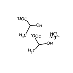 CC(O)C(=O)[O-].CC(O)C(=O)[O-].Cl.[Mg+2]